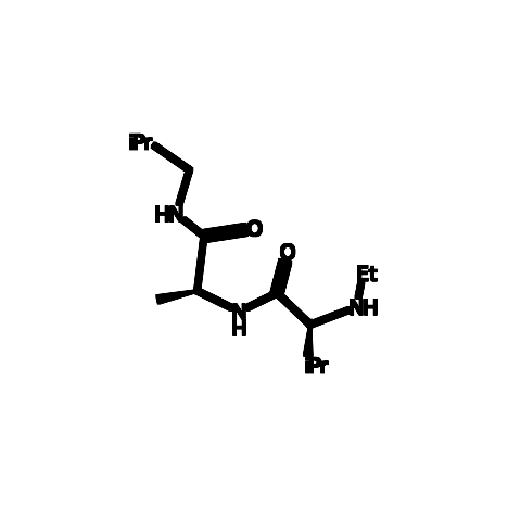 CCN[C@H](C(=O)N[C@@H](C)C(=O)NCC(C)C)C(C)C